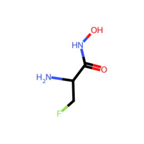 NC(CF)C(=O)NO